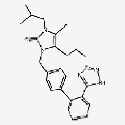 CCCc1c(Cl)n(CC(C)C)c(=O)n1Cc1ccc(-c2ccccc2-c2nnn[nH]2)cc1